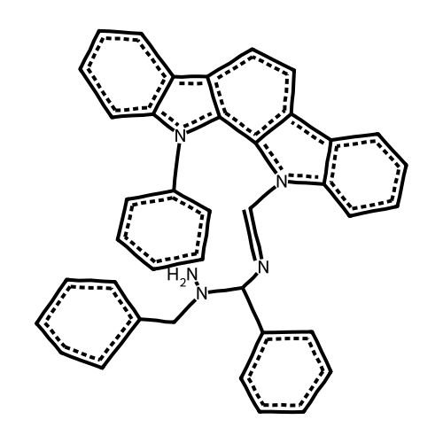 NN(Cc1ccccc1)C(/N=C/n1c2ccccc2c2ccc3c4ccccc4n(-c4ccccc4)c3c21)c1ccccc1